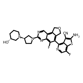 N#Cc1c(N)sc2c(F)cnc(-c3c4c(c5cnc(N6CC[C@@H](N7CCC[C@@H](O)C7)C6)nc5c3F)COC4)c12